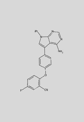 CC(C)n1cc(-c2ccc(Oc3ccc(F)cc3C#N)cc2)c2c(N)ncnc21